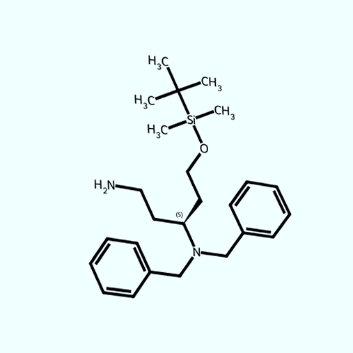 CC(C)(C)[Si](C)(C)OCC[C@H](CCN)N(Cc1ccccc1)Cc1ccccc1